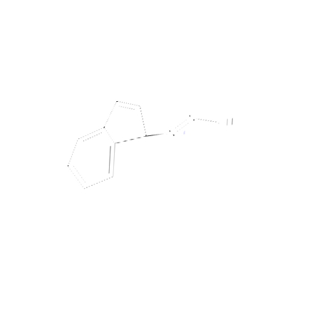 O/N=N/C1C=Cc2ccccc21